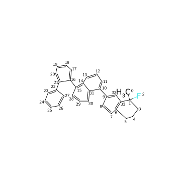 CC1(F)CCCc2ccc(-c3cccc4c(-c5ccccc5-c5ccccc5)cccc34)cc21